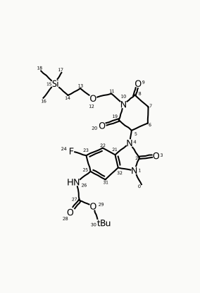 Cn1c(=O)n(C2CCC(=O)N(COCC[Si](C)(C)C)C2=O)c2cc(F)c(NC(=O)OC(C)(C)C)cc21